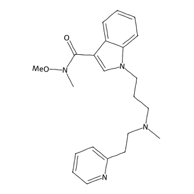 CON(C)C(=O)c1cn(CCCN(C)CCc2ccccn2)c2ccccc12